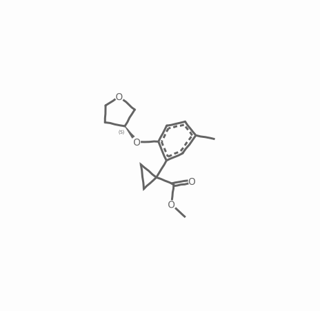 COC(=O)C1(c2cc(C)ccc2O[C@H]2CCOC2)CC1